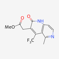 COC(=O)Cc1c(C(F)(F)F)c2c(C)nccc2[nH]c1=O